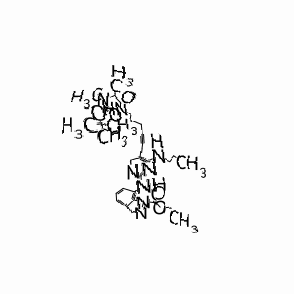 CCCNc1nc(Nc2cccc3cnn(C(=O)OCC)c23)ncc1C#CCCCNC(=O)[C@H](C)N(C)C(=O)OC(C)(C)C